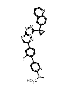 CN(C(=O)O)c1ccc(-c2ccc(-c3cnc4nnc(C5(c6ccc7ncccc7c6)CC5)n4n3)cc2F)cn1